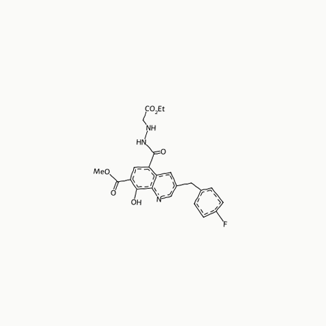 CCOC(=O)CNNC(=O)c1cc(C(=O)OC)c(O)c2ncc(Cc3ccc(F)cc3)cc12